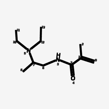 C=C(C)C(=O)NCC(C)N(CC)CC